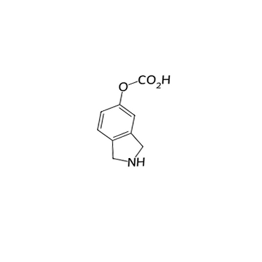 O=C(O)Oc1ccc2c(c1)CNC2